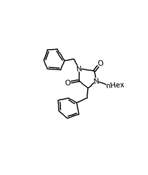 CCCCCCN1C(=O)N(Cc2ccccc2)C(=O)C1Cc1ccccc1